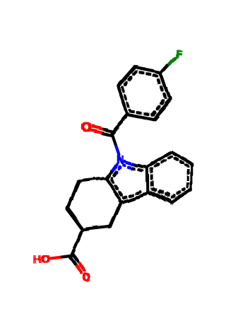 O=C(O)C1CCc2c(c3ccccc3n2C(=O)c2ccc(F)cc2)C1